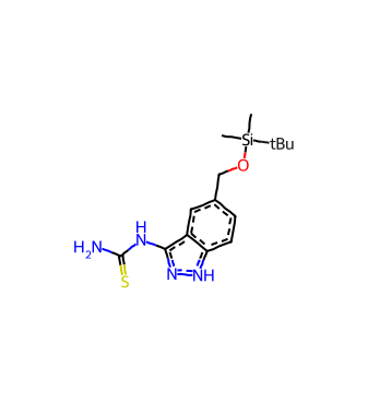 CC(C)(C)[Si](C)(C)OCc1ccc2[nH]nc(NC(N)=S)c2c1